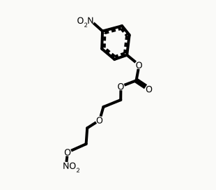 O=C(OCCOCCO[N+](=O)[O-])Oc1ccc([N+](=O)[O-])cc1